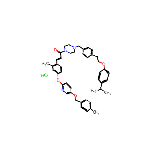 Cc1ccc(COc2ccc(Oc3ccc(C=CC(=O)N4CCN(Cc5ccc(CCOc6ccc(C(C)C)cc6)cc5)CC4)c(C)c3)nc2)cc1.Cl